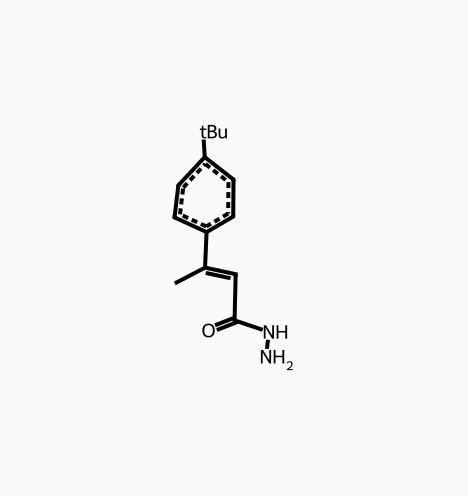 CC(=CC(=O)NN)c1ccc(C(C)(C)C)cc1